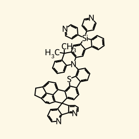 CC1(C)c2ccccc2N(c2cccc3c2sc2c4c(ccc23)C2(c3cccnc3-c3ncccc32)c2ccc3c5c(ccc-4c25)CC3)c2cc3c(cc21)[Si](c1ccncc1)(c1ccncc1)c1ccccc1-3